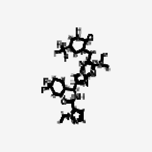 CCn1nccc1C(=O)N[C@H](c1cn2nc(CC3C[C@@H](C(F)(F)F)CNC3=O)c(N(C)C)nc2n1)C1CCC(F)(F)CC1